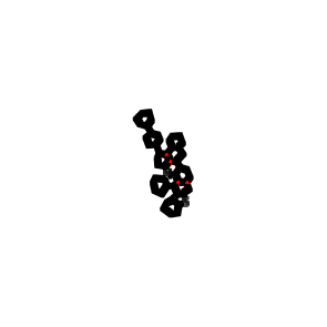 c1ccc(-c2ccc(-c3ccc(N(c4ccccc4-c4ccc5ccccc5c4)c4ccccc4-c4cccc5sc6ccccc6c45)cc3)cc2)cc1